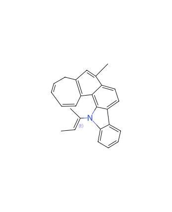 C/C=C(\C)n1c2ccccc2c2ccc3c(C)cc4c(c3c21)C=CC=CC4